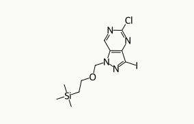 C[Si](C)(C)CCOCn1nc(I)c2nc(Cl)ncc21